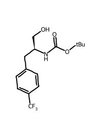 CC(C)(C)OC(=O)N[C@H](CO)Cc1ccc(C(F)(F)F)cc1